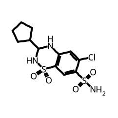 NS(=O)(=O)c1cc2c(cc1Cl)NC(C1CCCC1)NS2(=O)=O